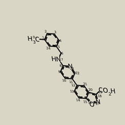 Cc1cccc(CNc2ccc(-c3ccc4onc(C(=O)O)c4c3)cn2)c1